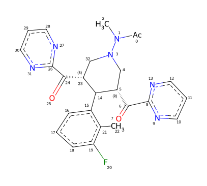 CC(=O)N(C)N1C[C@H](C(=O)c2ncccn2)C(c2cccc(F)c2C)[C@H](C(=O)c2ncccn2)C1